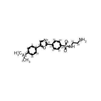 C[As](C)c1ccc(-c2cnc(-c3ccc(S(=O)(=O)NCCN)cc3)o2)cc1